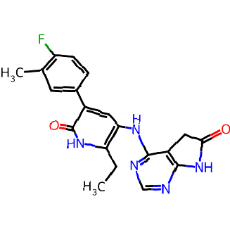 CCc1[nH]c(=O)c(-c2ccc(F)c(C)c2)cc1Nc1ncnc2c1CC(=O)N2